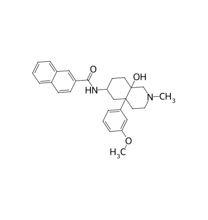 COc1cccc(C23CCN(C)CC2(O)CCC(NC(=O)c2ccc4ccccc4c2)C3)c1